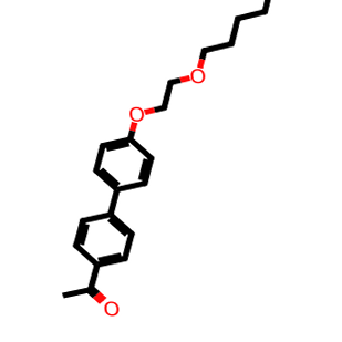 CCCCCOCCOc1ccc(-c2ccc(C(C)=O)cc2)cc1